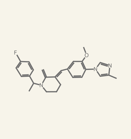 C=C1/C(=C/c2ccc(-n3cnc(C)c3)c(OC)c2)CCCN1C(C)c1ccc(F)cc1